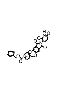 O=C1CCC(N2C(=O)c3cc4c(cc3C2=O)OC2(CCN(C(=O)OCc3ccccc3)CC2)CO4)C(=O)N1